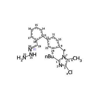 CCCCc1nc(Cl)c(C)n1Cc1ccc(-c2ccccc2/C=N/NN)cc1